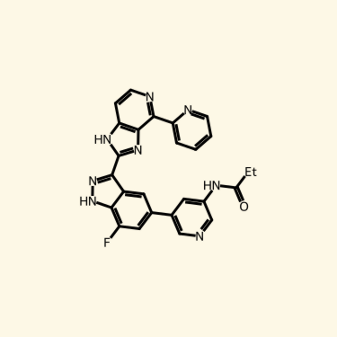 CCC(=O)Nc1cncc(-c2cc(F)c3[nH]nc(-c4nc5c(-c6ccccn6)nccc5[nH]4)c3c2)c1